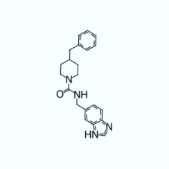 O=C(NCc1ccc2nc[nH]c2c1)N1CCC(Cc2ccccc2)CC1